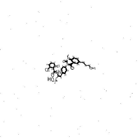 Cn1c(=O)n(-c2ccc(C[C@H](NC(=O)c3c(Cl)cccc3Cl)C(=O)O)cc2)c(=O)c2cc(CCCO)ccc21